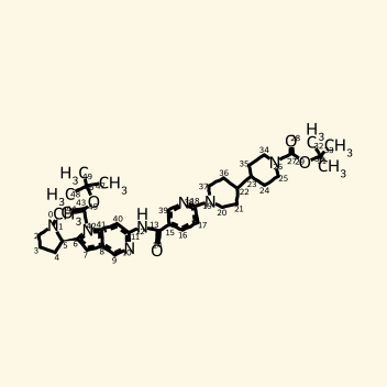 CN1CCC[C@@H]1c1cc2cnc(NC(=O)c3ccc(N4CCC(C5CCN(C(=O)OC(C)(C)C)CC5)CC4)nc3)cc2n1C(=O)OC(C)(C)C